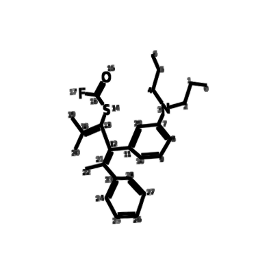 CCCN(CCC)c1cccc(/C(C(SC(=O)F)=C(C)C)=C(/C)c2ccccc2)c1